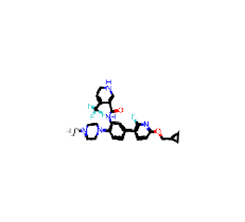 CN1CCN(c2ccc(-c3ccc(OCC4CC4)nc3F)cc2NC(=O)C2=CNCC=C2C(F)(F)F)CC1